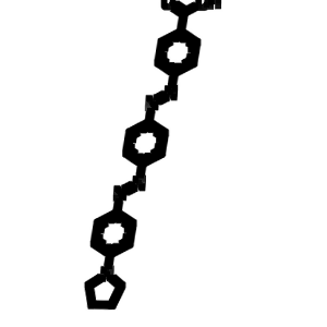 O=C(O)c1ccc(N=Nc2ccc(N=Nc3ccc(N4CCCC4)cc3)cc2)cc1